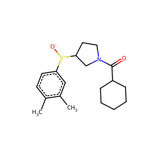 Cc1ccc([S+]([O-])C2CCN(C(=O)C3CCCCC3)C2)cc1C